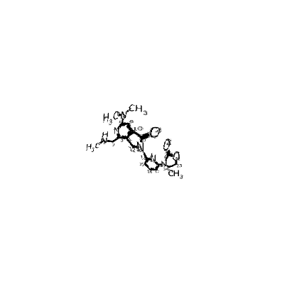 CNCc1nc(N(C)C)cc2c1CN(c1cccc(N3C(=O)OC[C@@H]3C)n1)C2=O